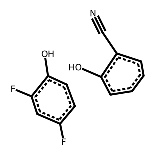 N#Cc1ccccc1O.Oc1ccc(F)cc1F